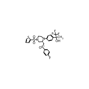 C[C@](O)(c1ccc(N2CCN(S(=O)(=O)c3cccs3)C[C@@H]2C[S+]([O-])c2ccc(F)cc2)cc1)C(F)(F)F